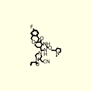 C=CC(=O)N1CCN(C2NC(OCC3CCCN3C)NC3C(=O)[C@@]4(CCC32)Cc2ccc(F)cc2CO4)CC1CC#N